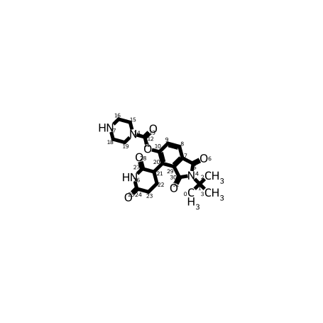 CC(C)(C)N1C(=O)c2ccc(OC(=O)N3CCNCC3)c(C3CCC(=O)NC3=O)c2C1=O